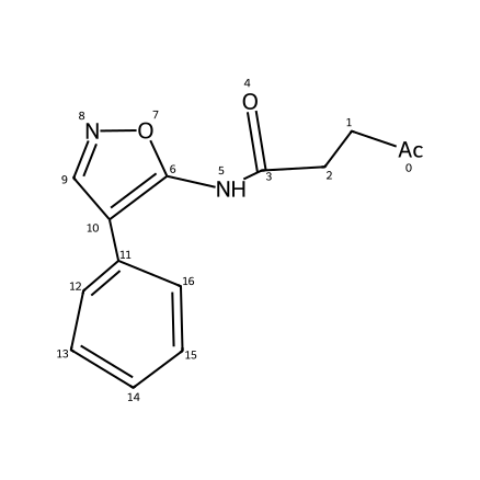 CC(=O)CCC(=O)Nc1oncc1-c1ccccc1